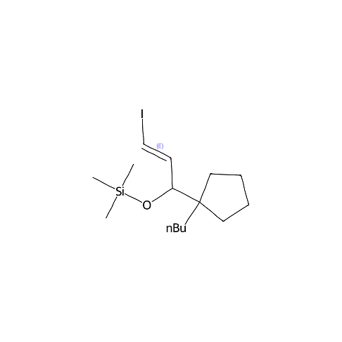 CCCCC1(C(/C=C/I)O[Si](C)(C)C)CCCC1